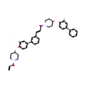 C=CC(=O)N1CCC(Oc2ccc(-c3cccc(/C=C/C(=O)N4CCC(Oc5ccc(-c6ccccc6)cc5Cl)CC4)c3)cc2C#N)CC1